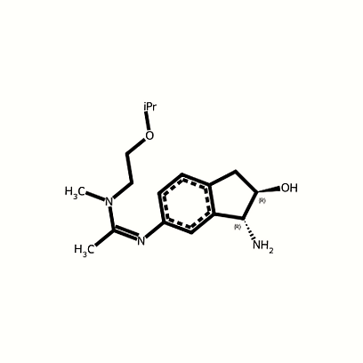 CC(=Nc1ccc2c(c1)[C@@H](N)[C@H](O)C2)N(C)CCOC(C)C